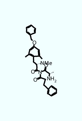 CN[C@@H](Cc1c(C)cc(OCc2ccccc2)cc1C)C(=O)N(C(=O)CCc1ccccc1)C(=O)[C@H](C)N